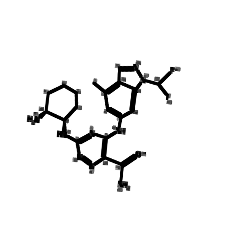 Cc1cc(Nc2nc(N[C@@H]3CCCC[C@@H]3N)nnc2C(N)=O)cc2c1cnn2C(F)F